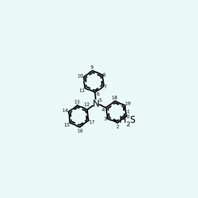 S.c1ccc(N(c2ccccc2)c2ccccc2)cc1